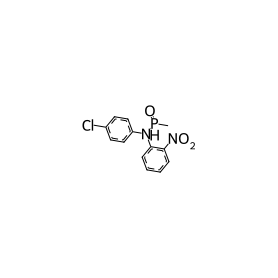 C[PH](=O)N(c1ccc(Cl)cc1)c1ccccc1[N+](=O)[O-]